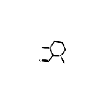 CN1CCCN(C)C1C=O